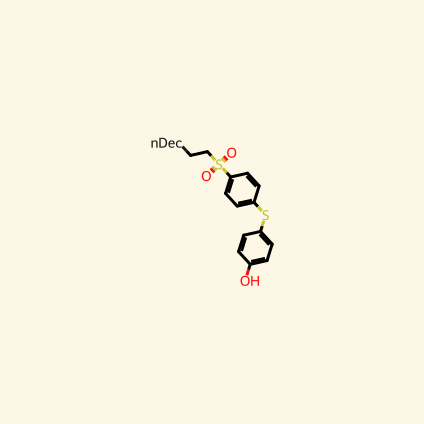 CCCCCCCCCCCCS(=O)(=O)c1ccc(Sc2ccc(O)cc2)cc1